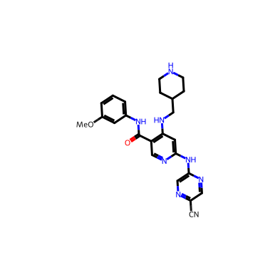 COc1cccc(NC(=O)c2cnc(Nc3cnc(C#N)cn3)cc2NCC2CCNCC2)c1